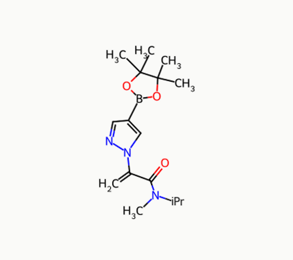 C=C(C(=O)N(C)C(C)C)n1cc(B2OC(C)(C)C(C)(C)O2)cn1